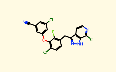 N#Cc1cc(Cl)cc(Oc2c(Cl)ccc(Cc3n[nH]c4c(Cl)nccc34)c2F)c1